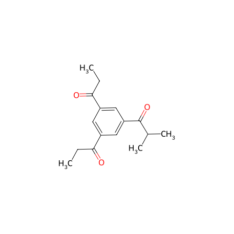 CCC(=O)c1cc(C(=O)CC)cc(C(=O)C(C)C)c1